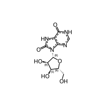 O=c1[nH]cnc2c1[nH]c(=O)n2[C@@H]1O[C@H](CO)[C@@H](O)[C@H]1O